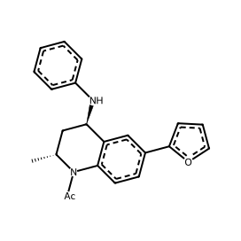 CC(=O)N1c2ccc(-c3ccco3)cc2[C@H](Nc2ccccc2)C[C@H]1C